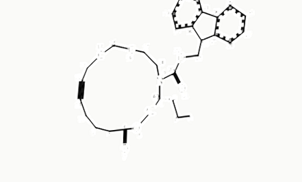 CCC[C@@H]1COC(=O)CCCC#CCCCCCCN1C(=O)OCC1c2ccccc2-c2ccccc21